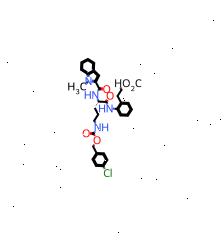 Cn1c(C(=O)N[C@@H](CCCNC(=O)OCc2ccc(Cl)cc2)C(=O)Nc2ccccc2CCC(=O)O)cc2ccccc21